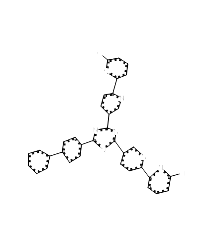 Cc1cccc(-c2ccc(-c3nc(-c4ccc(-c5ccccc5)cc4)nc(-c4ccc(-c5cccc(C)n5)nc4)n3)cn2)n1